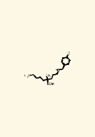 BCCCCC(CCCNCc1ccc(Cl)cc1)(NC)C(=O)O